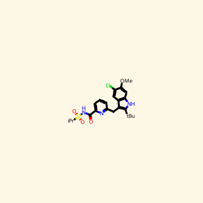 COc1cc2[nH]c(C(C)(C)C)c(Cc3cccc(C(=O)NS(=O)(=O)C(C)C)n3)c2cc1Cl